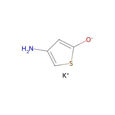 Nc1csc([O-])c1.[K+]